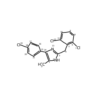 Cc1[nH]c(Cc2c(Cl)cccc2Cl)nc1-c1ccc(Cl)cc1